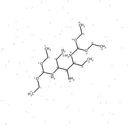 CCOC(OCC)[SiH2]C(CC)C(N)C(CC)[SiH2]C(OCC)OCC